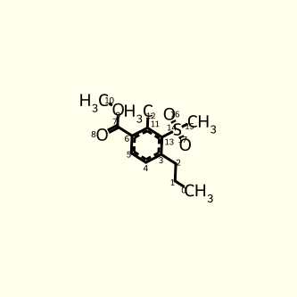 CCCc1ccc(C(=O)OC)c(C)c1S(C)(=O)=O